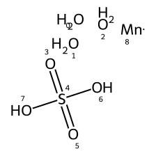 O.O.O.O=S(=O)(O)O.[Mn]